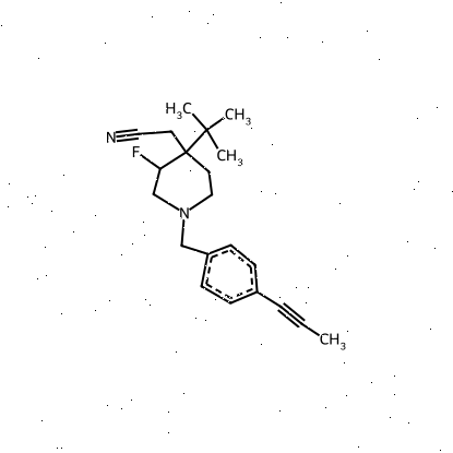 CC#Cc1ccc(CN2CCC(CC#N)(C(C)(C)C)C(F)C2)cc1